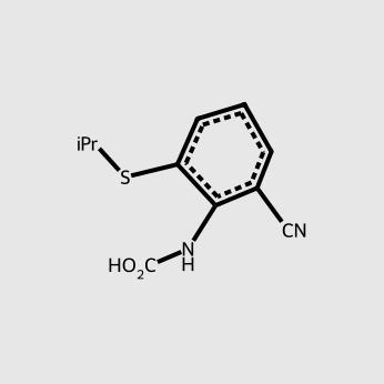 CC(C)Sc1cccc(C#N)c1NC(=O)O